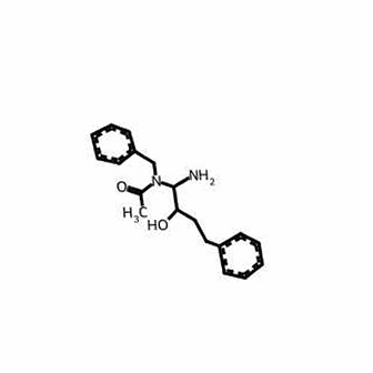 CC(=O)N(Cc1ccccc1)C(N)C(O)CCc1ccccc1